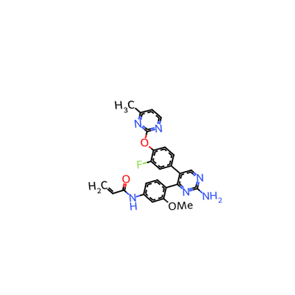 C=CC(=O)Nc1ccc(-c2nc(N)ncc2-c2ccc(Oc3nccc(C)n3)c(F)c2)c(OC)c1